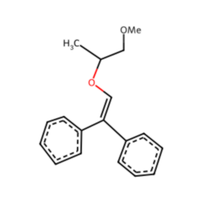 COCC(C)OC=C(c1ccccc1)c1ccccc1